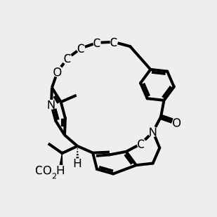 Cc1cc2cnc1OCCCCCc1ccc(cc1)C(=O)N1CCc3ccc(cc3C1)[C@H]2[C@H](C)C(=O)O